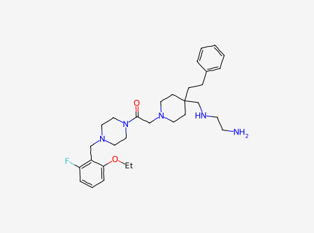 CCOc1cccc(F)c1CN1CCN(C(=O)CN2CCC(CCc3ccccc3)(CNCCN)CC2)CC1